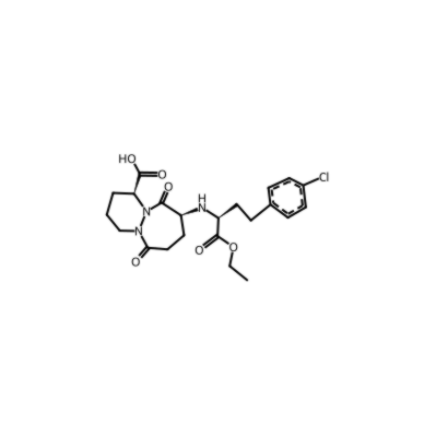 CCOC(=O)[C@H](CCc1ccc(Cl)cc1)N[C@H]1CCC(=O)N2CCC[C@@H](C(=O)O)N2C1=O